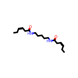 CC/C=C\CC(=O)NCCCCCNC(=O)C/C=C\CC